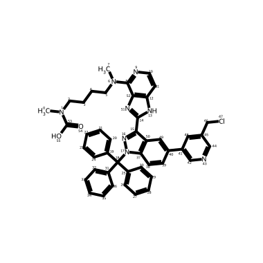 CN(CCCCN(C)c1nccc2[nH]c(-c3nn(C(c4ccccc4)(c4ccccc4)c4ccccc4)c4ccc(-c5cncc(CCl)c5)cc34)nc12)C(=O)O